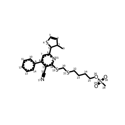 CC1C=CSC1c1cc(-c2ccccc2)c(C#N)c(SCSCCCCOS(C)(=O)=O)n1